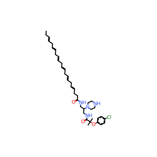 CCC=CCC=CCC=CCC=CCC=CCC=CCCC(=O)NCC(CNC(=O)C(C)(C)Oc1ccc(Cl)cc1)N1CCNCC1